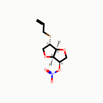 C=CCS[C@H]1CO[C@H]2[C@@H]1OC[C@H]2O[N+](=O)[O-]